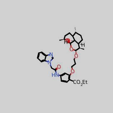 CCOC(=O)c1ccc(NC(=O)Cn2cnc3ccccc32)cc1OCCCO[C@H]1O[C@@H]2O[C@@]3(C)CCC4[C@H](C)CC[C@@H]([C@H]1C)[C@]42OO3